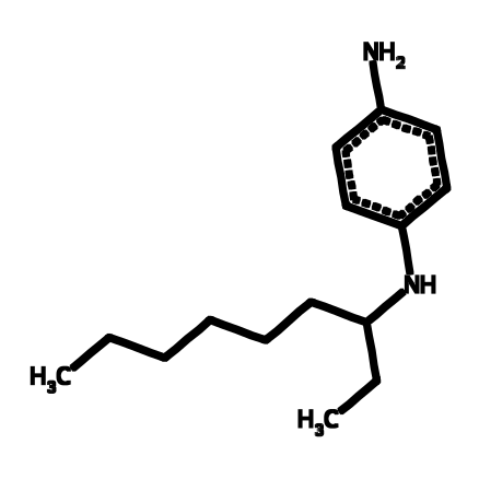 CCCCCCC(CC)Nc1ccc(N)cc1